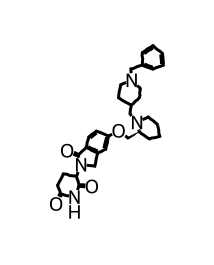 O=C1CCC(N2Cc3cc(OC[C@@H]4CCCCN4CC4CCN(Cc5ccccc5)CC4)ccc3C2=O)C(=O)N1